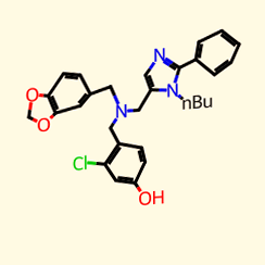 CCCCn1c(CN(Cc2ccc3c(c2)OCO3)Cc2ccc(O)cc2Cl)cnc1-c1ccccc1